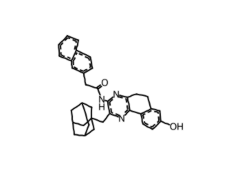 O=C(Cc1ccc2ccccc2c1)Nc1nc2c(nc1CC13CC4CC(CC(C4)C1)C3)-c1ccc(O)cc1CC2